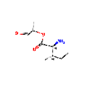 CC[C@H](C)[C@H](N)C(=O)OC(C)C=O